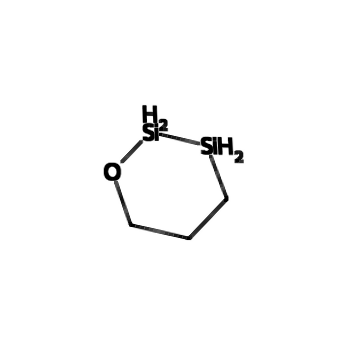 C1CO[SiH2][SiH2]C1